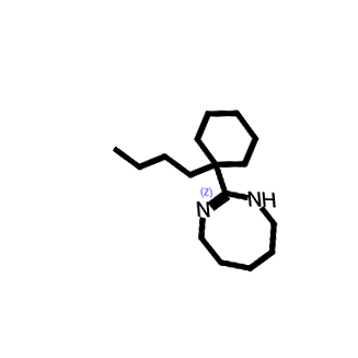 CCCCC1(/C2=N/CCCCCN2)CCCCC1